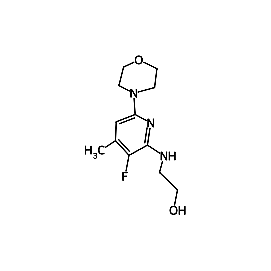 Cc1cc(N2CCOCC2)nc(NCCO)c1F